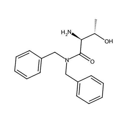 C[C@H](O)[C@H](N)C(=O)N(Cc1ccccc1)Cc1ccccc1